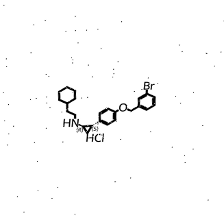 Brc1cccc(COc2ccc([C@@H]3C[C@H]3NCCC3CCCCC3)cc2)c1.Cl